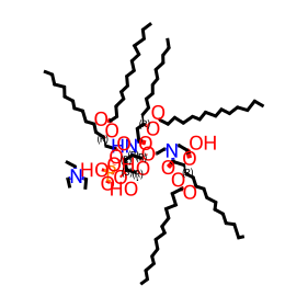 CCCCCCCCCCCCCC(=O)O[C@H](CCCCCCCCCCC)CC(=O)N[C@H]1[C@H](OCCN(CC(=O)O)C(=O)C[C@@H](CCCCCCCCCCC)OC(=O)CCCCCCCCCCCCC)O[C@H](CO)[C@@H](OP(=O)(O)O)[C@@H]1OC(=O)C[C@@H](CCCCCCCCCCC)OC(=O)CCCCCCCCCCCCC.CCN(CC)CC